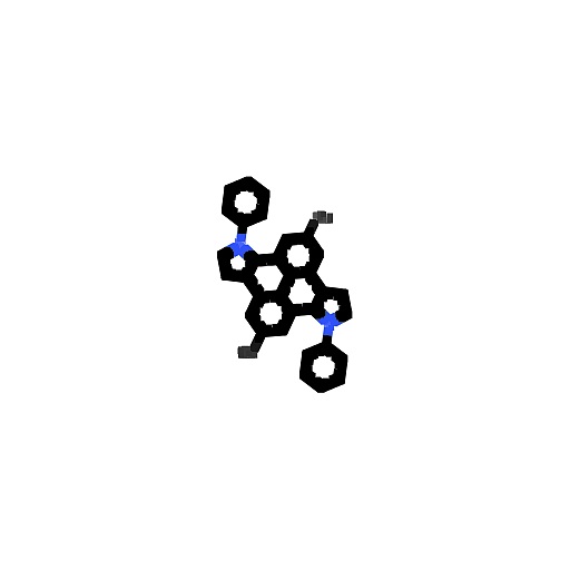 CC(C)(C)c1cc2c3ccn(-c4ccccc4)c3c3cc(C(C)(C)C)cc4c5ccn(-c6ccccc6)c5c(c1)c2c43